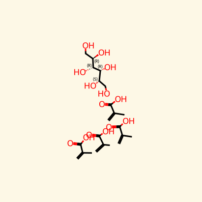 C=C(C)C(=O)O.C=C(C)C(=O)O.C=C(C)C(=O)O.C=C(C)C(=O)O.OC[C@@H](O)[C@@H](O)[C@H](O)[C@@H](O)CO